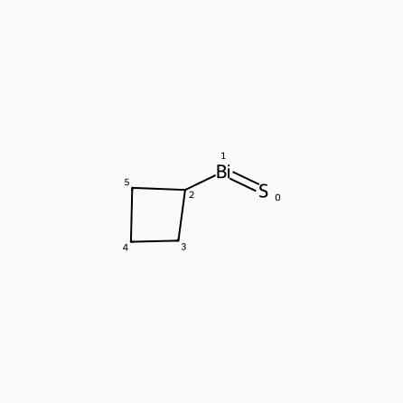 [S]=[Bi][CH]1CCC1